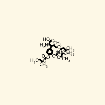 CCC(C)OC(=O)Oc1ccc(C(C(C)COC(=O)CC(C)(C)C)[C@H](N)C(=O)O)cc1OC(=O)OC(C)CC